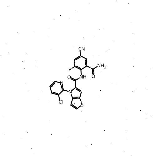 Cc1cc(C#N)cc(C(N)=O)c1NC(=O)c1cc2sccc2n1-c1ncccc1Cl